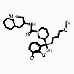 CCOCCCCC(O)(c1cccc(Cl)c1Cl)C1CCCN(C(=O)NC(CNC)CC2CCCCC2)C1